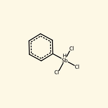 [Cl][SbH]([Cl])([Cl])[c]1ccccc1